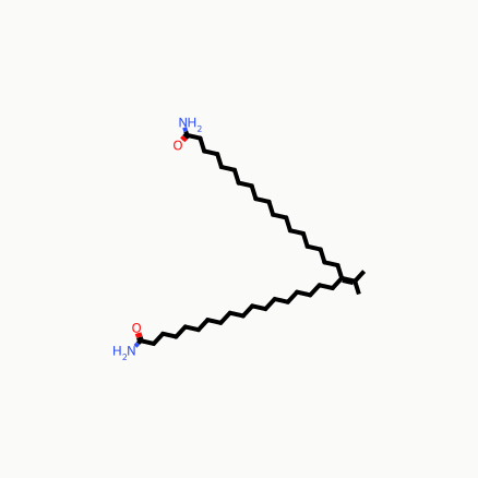 CC(C)=C(CCCCCCCCCCCCCCCCCC(N)=O)CCCCCCCCCCCCCCCCCC(N)=O